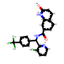 O=C(NC(c1ccc(C(F)(F)F)cc1)c1ncccc1F)c1ccc2ccc(=O)[nH]c2c1